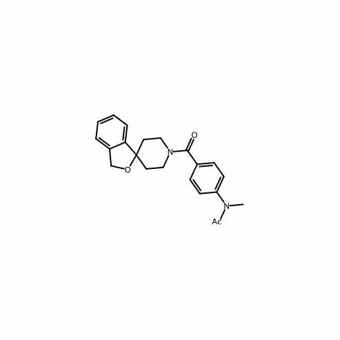 CC(=O)N(C)c1ccc(C(=O)N2CCC3(CC2)OCc2ccccc23)cc1